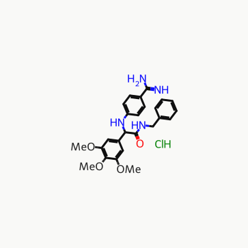 COc1cc(C(Nc2ccc(C(=N)N)cc2)C(=O)NCc2ccccc2)cc(OC)c1OC.Cl